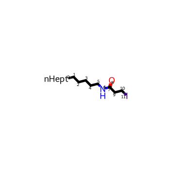 CCCCCCCCCCCCNC(=O)CCI